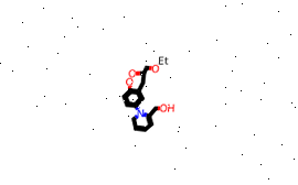 CCOCC1Cc2cc(N3CC=CC=C3CO)ccc2OO1